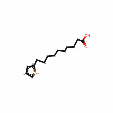 O=C(O)CCCCCCCCCc1cccs1